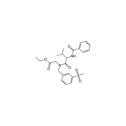 CCOC(=O)CN(Cc1cccc(S(C)(=O)=O)c1)C(=O)C(NC(=O)c1ccccc1)C(C)C